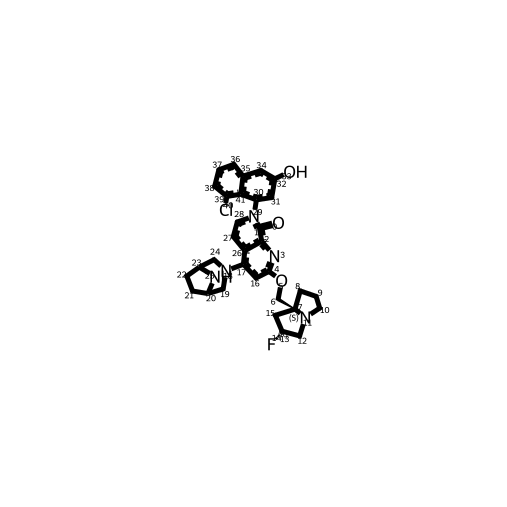 O=c1c2nc(OC[C@@]34CCCN3C[C@H](F)C4)cc(N3CC4CCC(C3)N4)c2ccn1-c1cc(O)cc2cccc(Cl)c12